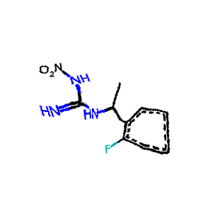 CC(NC(=N)N[N+](=O)[O-])c1ccccc1F